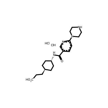 Cl.Cl.O=C(O)CC[C@H]1CC[C@H](NC(=O)c2ccc(N3CCNCC3)nc2)CC1